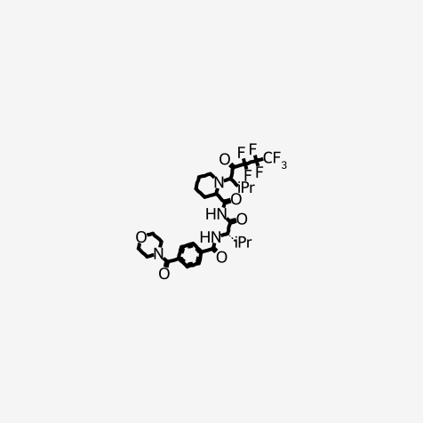 CC(C)C(C(=O)C(F)(F)C(F)(F)C(F)(F)F)N1CCCCC1C(=O)NC(=O)[C@@H](NC(=O)c1ccc(C(=O)N2CCOCC2)cc1)C(C)C